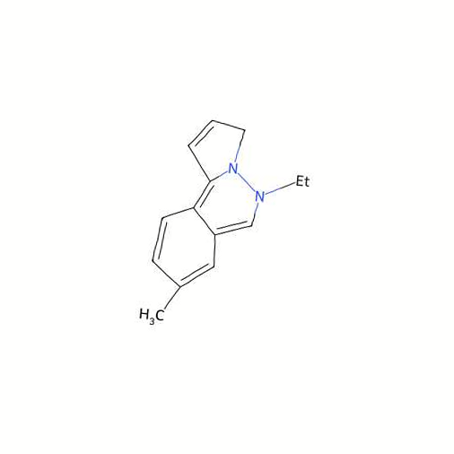 CCN1C=c2cc(C)ccc2=C2C=CCN21